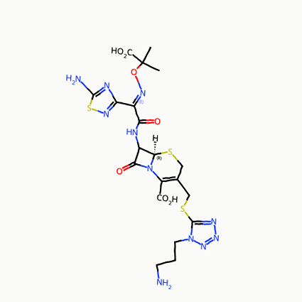 CC(C)(O/N=C(/C(=O)NC1C(=O)N2C(C(=O)O)=C(CSc3nnnn3CCCN)CS[C@H]12)c1nsc(N)n1)C(=O)O